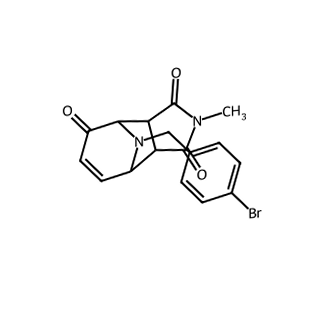 CN1C(=O)C2C(C1=O)C1C(=O)C=CC2N1Cc1ccc(Br)cc1